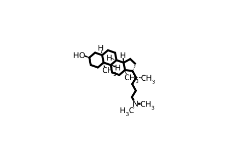 C[C@H](CCCN(C)C)[C@H]1CC[C@H]2[C@@H]3CC[C@@H]4C[C@H](O)CC[C@]4(C)[C@H]3CC[C@]12C